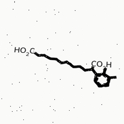 Cc1cccc(C(CCCCCCCCCC(=O)O)C(=O)O)c1C